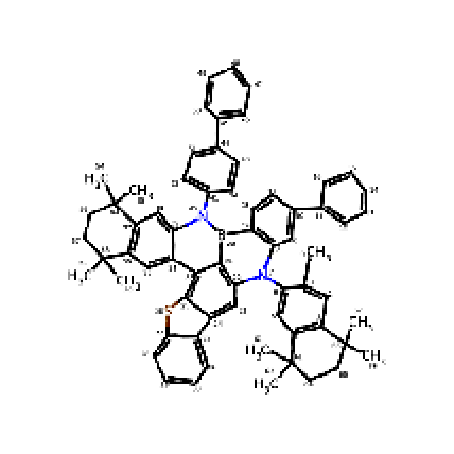 Cc1cc2c(cc1N1c3cc(-c4ccccc4)ccc3B3c4c1cc1c(sc5ccccc51)c4-c1cc4c(cc1N3c1ccc(-c3ccccc3)cc1)C(C)(C)CCC4(C)C)C(C)(C)CCC2(C)C